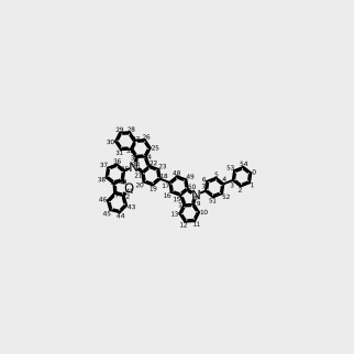 c1ccc(-c2ccc(-n3c4ccccc4c4cc(-c5ccc6c(c5)c5ccc7ccccc7c5n6-c5cccc6c5oc5ccccc56)ccc43)cc2)cc1